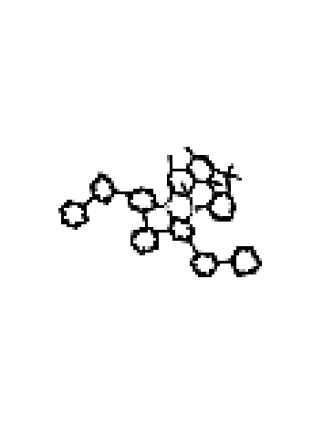 CC1C=C2C(C)(C)c3cccc4c3C2(C)C2=C1C(C)C=C1N3c5ccc(-c6cccc(-c7ccccc7)c6)cc5-c5ccccc5-c5cc(-c6cccc(-c7ccccc7)c6)cc(c53)N4C12C